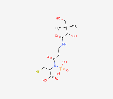 CC(C)(CO)C(O)C(=O)NCCC(=O)N(C(CS)C(=O)O)P(=O)(O)O